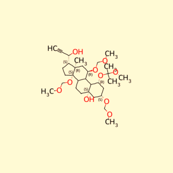 C#CC(O)[C@H]1CC[C@]2(OCOC)C3CC[C@]4(O)C[C@@H](OCOC)C[C@@H](OC(C)(C)OC)C4C3[C@H](OCOC)C[C@]12C